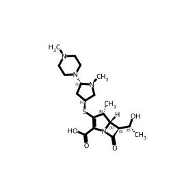 C[C@@H](O)[C@H]1C(=O)N2C(C(=O)O)=C(S[C@H]3C[C@H](N4CCN(C)CC4)N(C)C3)[C@H](C)[C@H]12